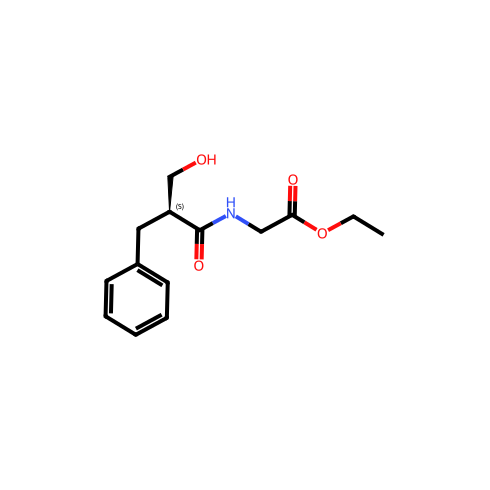 CCOC(=O)CNC(=O)[C@H](CO)Cc1ccccc1